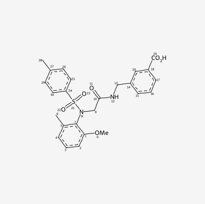 COc1cccc(C)c1N(CC(=O)NCc1cccc(C(=O)O)c1)S(=O)(=O)c1ccc(C)cc1